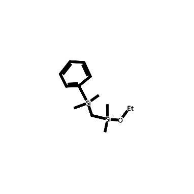 CCO[Si](C)(C)C[Si](C)(C)c1ccccc1